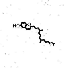 CC(C)CCCC(C)CCCC(C)CCCC1C=Cc2cc(O)ccc2O1